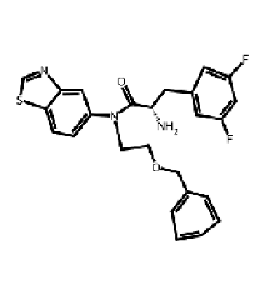 N[C@@H](Cc1cc(F)cc(F)c1)C(=O)N(CCOCc1ccccc1)c1ccc2scnc2c1